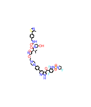 Cc1ncsc1-c1ccc(CNC(=O)[C@@H]2C[C@@H](O)CN2C(=O)[C@H](c2cc(OCCN3CCN(c4ccc(-c5cnc6[nH]cc(C(=O)c7c(F)ccc(NS(=O)(=O)N8CC[C@@H](F)C8)c7F)c6c5)cc4)CC3)no2)C(C)C)cc1